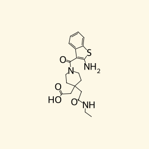 CCNC(=O)CC1(CC(=O)O)CCN(C(=O)c2c(N)sc3ccccc23)CC1